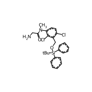 CN(C(=O)CN)c1ccc(Cl)c(CO[Si](c2ccccc2)(c2ccccc2)C(C)(C)C)c1Cl